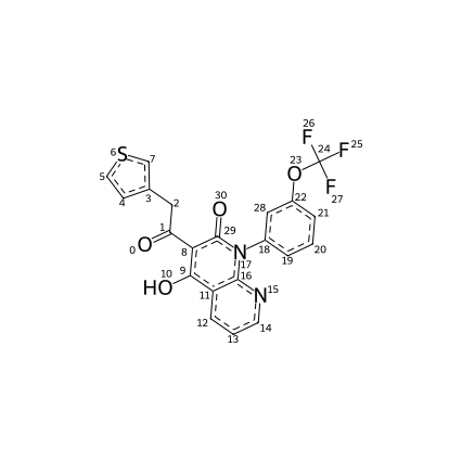 O=C(Cc1ccsc1)c1c(O)c2cccnc2n(-c2cccc(OC(F)(F)F)c2)c1=O